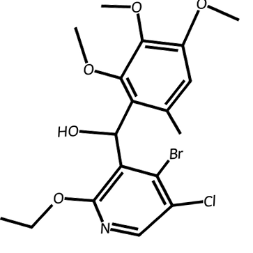 CCOc1ncc(Cl)c(Br)c1C(O)c1c(C)cc(OC)c(OC)c1OC